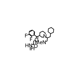 CNCC(CC1CCCCC1)N1CCCC([C@@H](OCC(=O)NC(C)C)c2cccc(F)c2F)C1